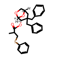 CC(CSc1ccccc1)C(=O)O[C@@H]1[C@@H]2OC[C@H](CC1(Cc1ccccc1)Cc1ccccc1)O2